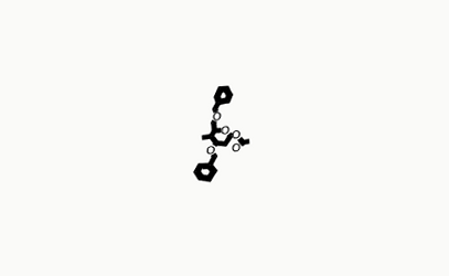 CC(=O)OC1CC(OCc2ccccc2)C(C)C(COCc2ccccc2)O1